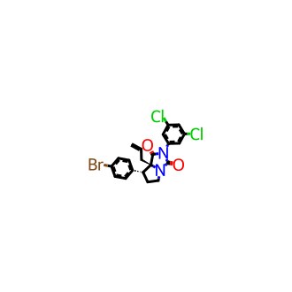 C=CC[C@@]12C(=O)N(c3cc(Cl)cc(Cl)c3)C(=O)N1CC[C@@H]2c1ccc(Br)cc1